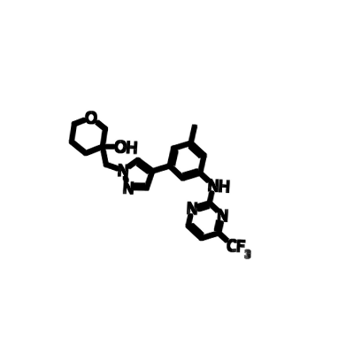 Cc1cc(Nc2nccc(C(F)(F)F)n2)cc(-c2cnn(CC3(O)CCCOC3)c2)c1